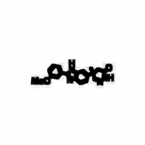 COc1cccc(-c2nc3ccc(C4(C)C=NNC(=O)C4)cc3[nH]2)c1